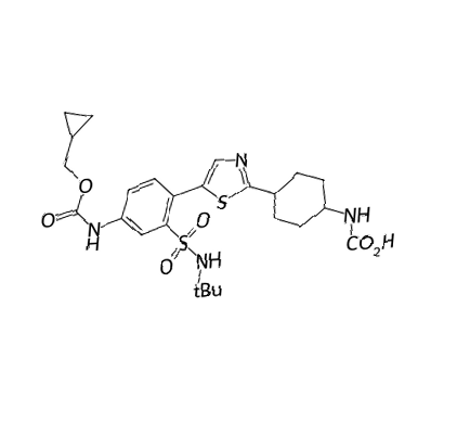 CC(C)(C)NS(=O)(=O)c1cc(NC(=O)OCC2CC2)ccc1-c1cnc(C2CCC(NC(=O)O)CC2)s1